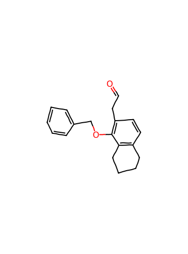 O=CCc1ccc2c(c1OCc1ccccc1)CCCC2